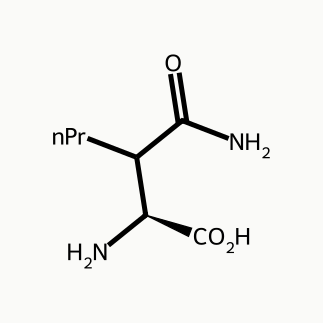 CCCC(C(N)=O)[C@H](N)C(=O)O